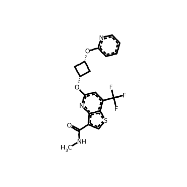 CNC(=O)c1csc2c(C(F)(F)F)cc(O[C@H]3C[C@@H](Oc4ccccn4)C3)nc12